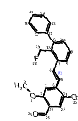 COc1cc(/C=C/c2cccc(-c3ccccc3)c2CF)c(C)cc1C=O